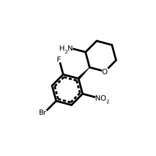 NC1CCCO[C@H]1c1c(F)cc(Br)cc1[N+](=O)[O-]